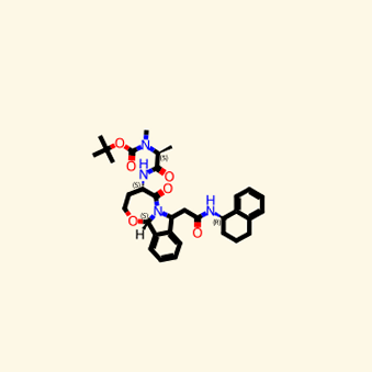 C[C@@H](C(=O)N[C@H]1CCO[C@H]2c3ccccc3C(CC(=O)N[C@@H]3CCCc4ccccc43)N2C1=O)N(C)C(=O)OC(C)(C)C